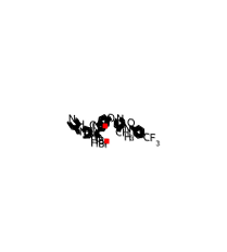 Br.Br.Cc1cc(Oc2ccc3c(c2)cc(C(=O)N2CCN(Cc4ccncc4)CC2)n3C)ncc1NC(=O)c1ccc(C(F)(F)F)cc1